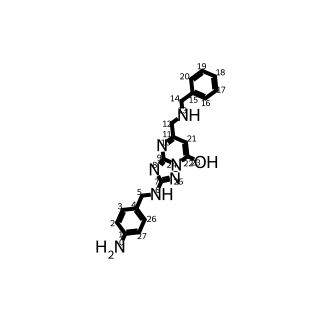 Nc1ccc(CNc2nc3nc(CNCc4ccccc4)cc(O)n3n2)cc1